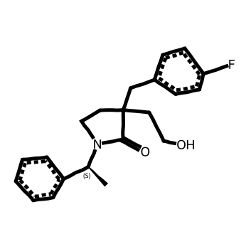 C[C@@H](c1ccccc1)N1CCC(CCO)(Cc2ccc(F)cc2)C1=O